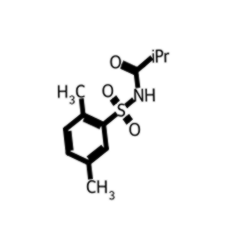 Cc1ccc(C)c(S(=O)(=O)NC(=O)C(C)C)c1